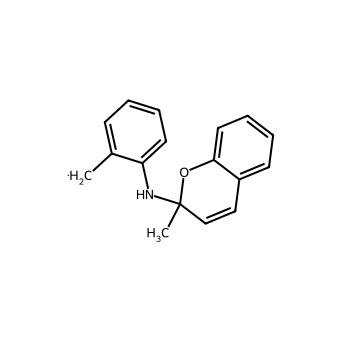 [CH2]c1ccccc1NC1(C)C=Cc2ccccc2O1